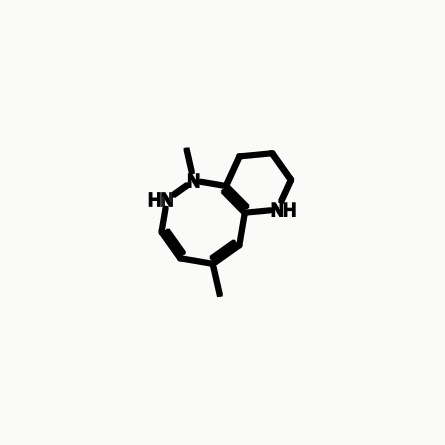 Cc1cc[nH]n(C)c2c(c1)NCCC2